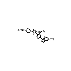 CC(=O)NC1CC=C(c2nnc(-c3cnc(-c4ccc5cc(C#N)cnn45)cc3NC(C)C)s2)CC1